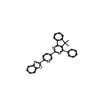 CC1(C)c2ccccc2-c2nc(-c3ccc(-c4nc5ccccc5o4)nc3)nc(-c3ccccc3)c21